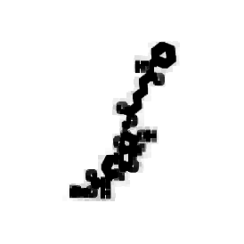 CC(C)COC(=O)Nc1ccn([C@@H]2O[C@H](COC(=O)CCCCC(=O)Nc3ccccc3)[C@@H](O)C2(F)F)c(=O)n1